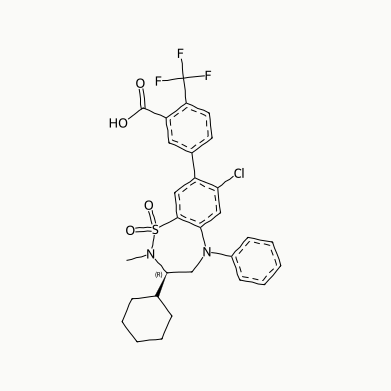 CN1[C@H](C2CCCCC2)CN(c2ccccc2)c2cc(Cl)c(-c3ccc(C(F)(F)F)c(C(=O)O)c3)cc2S1(=O)=O